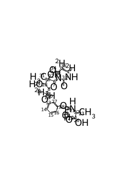 [2H]c1[nH]c(=O)n([C@@H]2O[C@H](C([2H])([2H])Oc3cccc(O[PH](=O)NC(C)C(=O)O)c3)[C@@H](O)[C@@]2(C)O)c(=O)c1[2H]